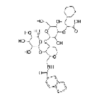 CC1OC(OC2C(CNC(=O)c3ccc4ccccc4c3)OCCC2OC2OC(CO)C(O)C(OC(CC3CCCCC3)C(=O)O)C2O)C(O)C(O)C1O